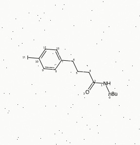 CCCCNC(=O)CCCc1ccc(I)cc1